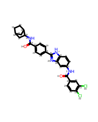 O=C(Nc1ccc2[nH]c(-c3ccc(C(=O)NC4CC5CCC4C5)cc3)nc2c1)c1ccc(Cl)c(Cl)c1